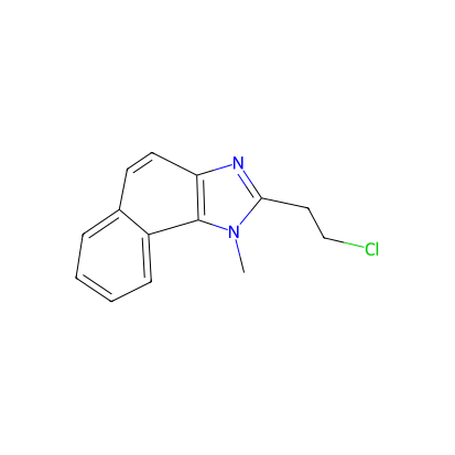 Cn1c(CCCl)nc2ccc3ccccc3c21